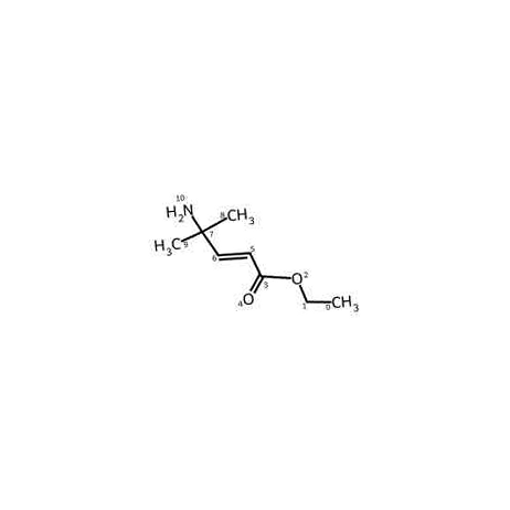 CCOC(=O)C=CC(C)(C)N